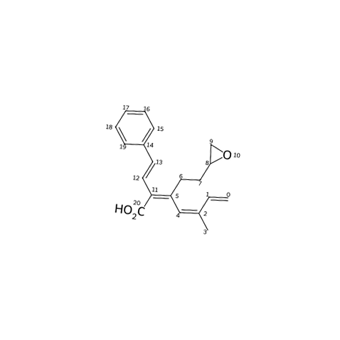 C=CC(C)=CC(CCC1CO1)=C(C=Cc1ccccc1)C(=O)O